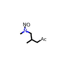 CC(=O)CC(C)CN(C)N=O